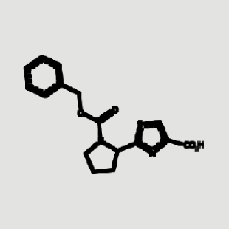 O=C(O)c1csc(C2CCCN2C(=O)OCc2ccccc2)n1